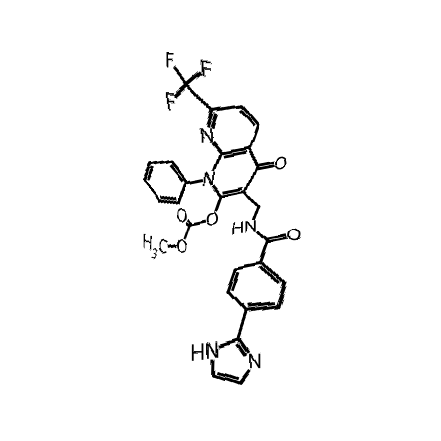 COC(=O)Oc1c(CNC(=O)c2ccc(-c3ncc[nH]3)cc2)c(=O)c2ccc(C(F)(F)F)nc2n1-c1ccccc1